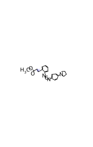 COC(=O)/C=C/c1ccccc1N=C=Nc1ccc(N2CCCC2)cc1